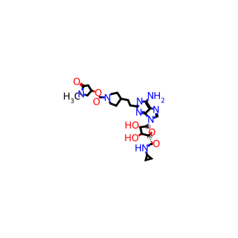 CN1CC(OC(=O)N2CCC(CCc3nc(N)c4ncn([C@@H]5O[C@H](C(=O)NC6CC6)C(O)C5O)c4n3)CC2)CC1=O